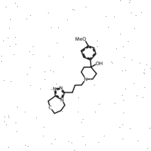 COc1ccc(C2(O)CCN(CCCc3nnc4n3CCCCC4)CC2)cc1